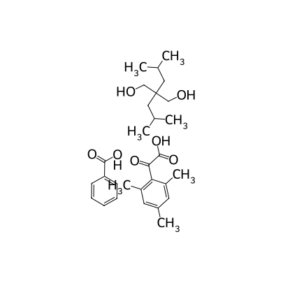 CC(C)CC(CO)(CO)CC(C)C.Cc1cc(C)c(C(=O)C(=O)O)c(C)c1.O=C(O)c1ccccc1